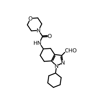 O=Cc1nn(C2CCCCC2)c2c1CC(NC(=O)N1CCOCC1)CC2